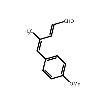 COc1ccc(/C=C(C)\C=C\C=O)cc1